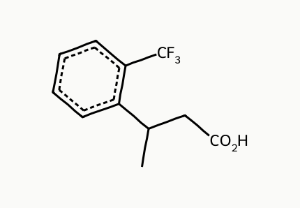 CC(CC(=O)O)c1ccccc1C(F)(F)F